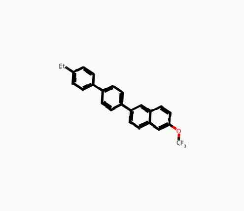 CCc1ccc(-c2ccc(-c3ccc4cc(OC(F)(F)F)ccc4c3)cc2)cc1